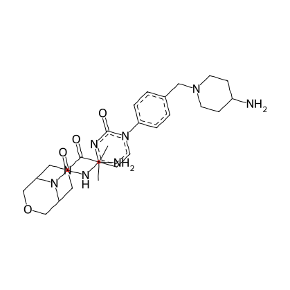 CC(C)(N)C(=O)N1CC2COCC(C1)N2C(=O)Nc1ccn(-c2ccc(CN3CCC(N)CC3)cc2)c(=O)n1